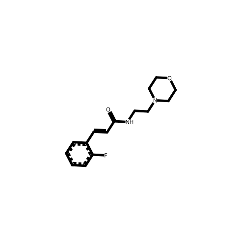 O=C(C=Cc1ccccc1F)NCCN1CCOCC1